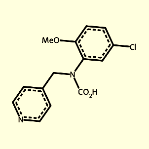 COc1ccc(Cl)cc1N(Cc1ccncc1)C(=O)O